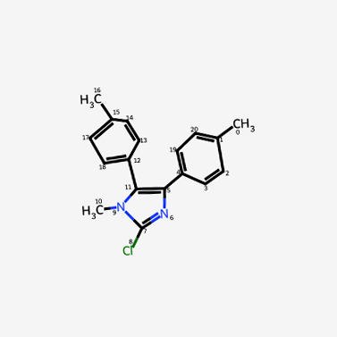 Cc1ccc(-c2nc(Cl)n(C)c2-c2ccc(C)cc2)cc1